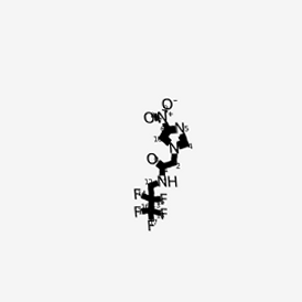 O=C(Cn1cnc([N+](=O)[O-])c1)NCC(F)(F)C(F)(F)F